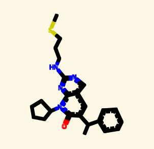 CSCCCNc1ncc2cc(C(C)c3ccccc3)c(=O)n(C3CCCC3)c2n1